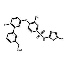 COCc1cccc(-c2cc(Oc3ccc(S(=O)(=O)Nc4ncc(F)s4)cc3C#N)ccc2Cl)c1